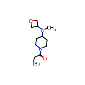 CN(C1CCN(C(=O)CC(C)(C)C)CC1)C1COC1